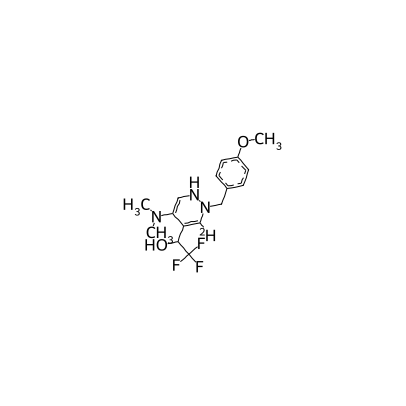 [2H]C1=C(C(O)C(F)(F)F)C(N(C)C)=CNN1Cc1ccc(OC)cc1